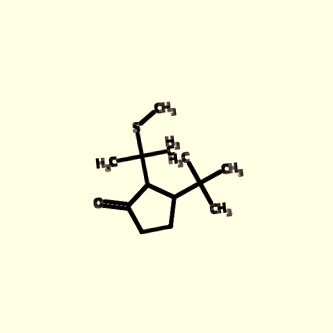 CSC(C)(C)C1C(=O)CCC1C(C)(C)C